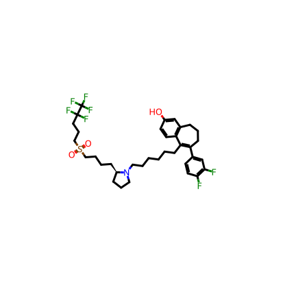 O=S(=O)(CCCC[C@@H]1CCCN1CCCCCCC1=C(c2ccc(F)c(F)c2)CCCc2cc(O)ccc21)CCCC(F)(F)C(F)(F)F